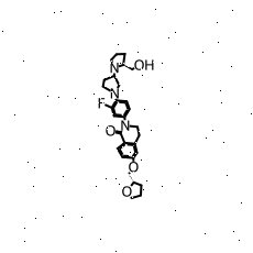 O=C1c2ccc(OC[C@@H]3CCCO3)cc2CCN1c1ccc(N2CCC(N3CCC[C@H]3CO)C2)c(F)c1